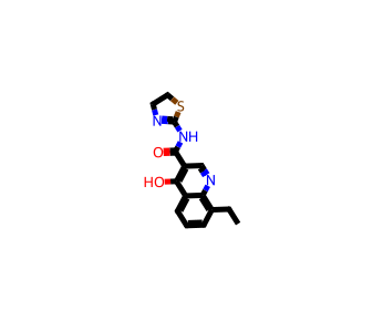 CCc1cccc2c(O)c(C(=O)NC3=NCCS3)cnc12